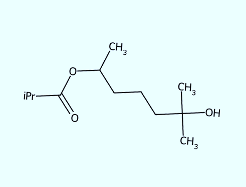 CC(CCCC(C)(C)O)OC(=O)C(C)C